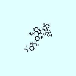 Nc1nccn2c([C@@H]3C[C@H]4COC[C@H]4N3C(=O)C3(O)CC3)nc(-c3ccc(C(=O)Nc4cc(C(F)(F)F)ccn4)cc3F)c12